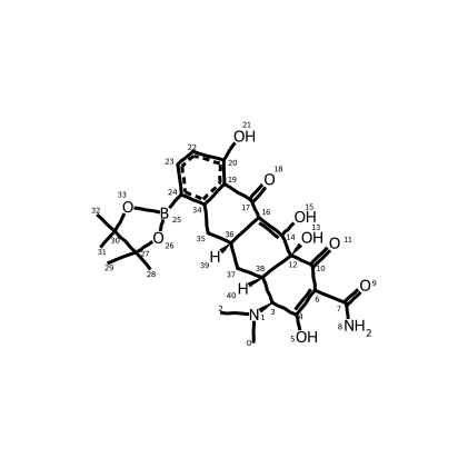 CN(C)[C@@H]1C(O)=C(C(N)=O)C(=O)[C@@]2(O)C(O)=C3C(=O)c4c(O)ccc(B5OC(C)(C)C(C)(C)O5)c4C[C@H]3C[C@@H]12